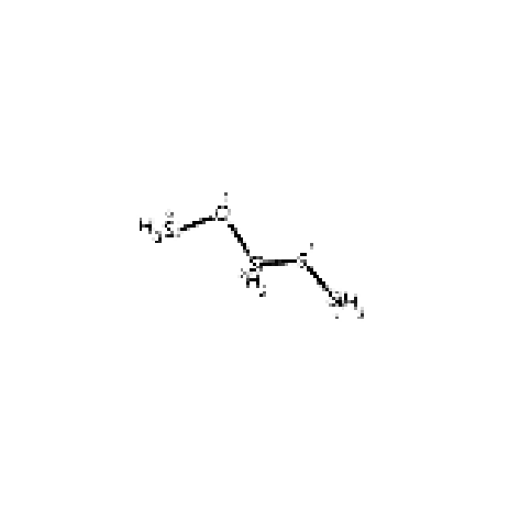 [SiH3]O[SiH2]S[SiH3]